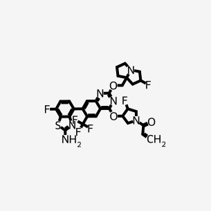 C=CC(=O)N1CC(F)C(Oc2nc(OCC34CCCN3CC(F)C4)nc3cc(-c4ccc(F)c5sc(N)nc45)c(C(F)(F)F)cc23)C1